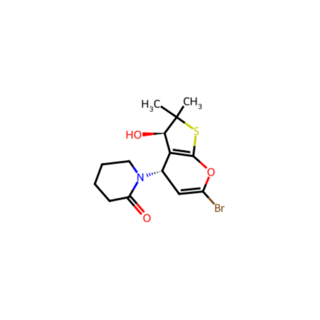 CC1(C)SC2=C([C@H]1O)[C@@H](N1CCCCC1=O)C=C(Br)O2